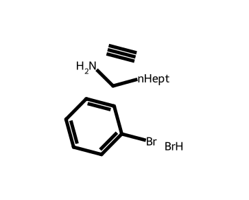 Br.Brc1ccccc1.C#C.CCCCCCCCN